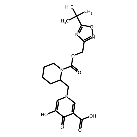 CC(C)(C)c1nc(COC(=O)N2CCCCC2Cn2cc(O)c(=O)c(C(=O)O)c2)no1